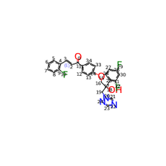 O=C(/C=C/c1ccccc1F)c1ccc(OCC(O)(Cn2cncn2)c2ccc(F)cc2F)cc1